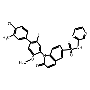 COc1cc(-c2ccc(Cl)c(C)c2)c(F)cc1-n1c(=O)ccc2cc(S(=O)(=O)Nc3cnccn3)ccc21